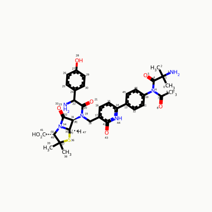 CC(C)(N)C(=O)N(C(=O)C(F)(F)F)c1ccc(-c2ccc(CN(C(=O)C(N)c3ccc(O)cc3)[C@@H]3C(=O)N4[C@@H]3SC(C)(C)[C@@H]4C(=O)O)c(=O)[nH]2)cc1